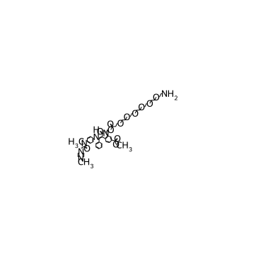 COC(=O)c1ccc2c(c1)N(COC(=O)CCOCCOCCOCCOCCOCCOCCN)C(=O)/C2=C(\Nc1ccc(N(C)C(=O)CN2CCN(C)CC2)cc1)c1ccccc1